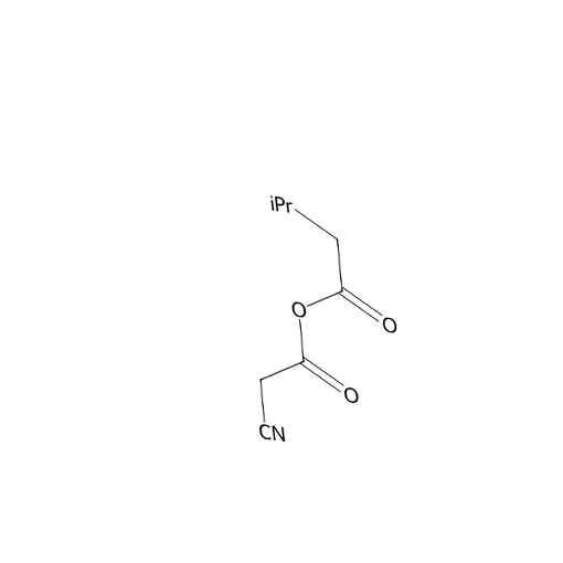 CC(C)CC(=O)OC(=O)CC#N